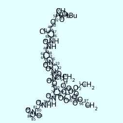 C=CCOC(=O)O[C@@H]1[C@@H](OC(=O)OCC=C)[C@H](Oc2ccc(COC(=O)N(C)CN3C(=O)CCC(N4Cc5cc(CNC(=O)Nc6ccc(CCOCCN(C)C(=O)OC(C)(C)C)c(Cl)c6)ccc5C4=O)C3=O)cc2NC(=O)CCNC(=O)CCN2C(=O)C=CC2=O)OC[C@@H]1OC(=O)OCC=C